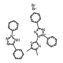 Cc1nc(-n2nc(-c3ccccc3)n[n+]2-c2ccccc2)sc1C.[Br-].[Br-].c1ccc(-c2nn[n+](-c3ccccc3)[nH]2)cc1